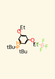 CCOc1cc(OCC)cc([PH+](C(C)(C)C)C(C)(C)C)c1.F[B-](F)(F)F